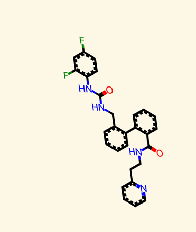 O=C(NCc1ccccc1-c1ccccc1C(=O)NCCc1ccccn1)Nc1ccc(F)cc1F